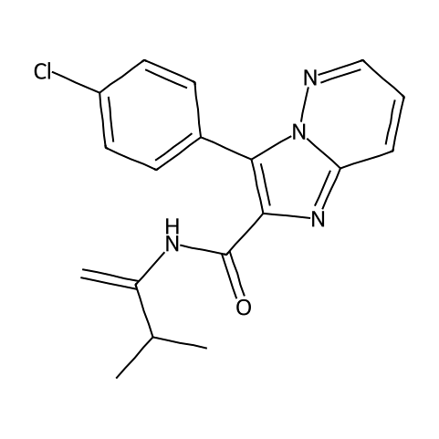 C=C(NC(=O)c1nc2cccnn2c1-c1ccc(Cl)cc1)C(C)C